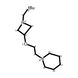 CC(C)(C)CN1CC(OCCN2CCCCC2)C1